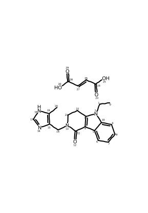 CCn1c2c(c3ccccc31)C(=O)N(Cc1nc[nH]c1C)CC2.O=C(O)C=CC(=O)O